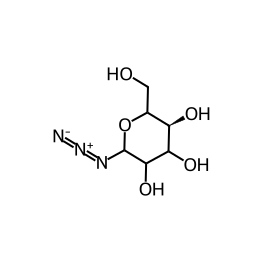 [N-]=[N+]=NC1OC(CO)[C@@H](O)C(O)C1O